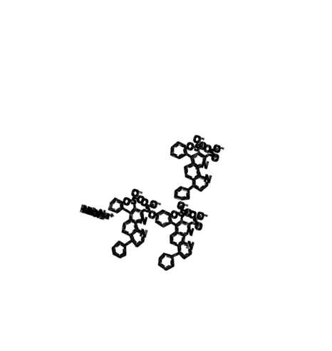 O=S(=O)([O-])c1nc2c(ccc3c(-c4ccccc4)ccnc32)c(-c2ccccc2)c1S(=O)(=O)[O-].O=S(=O)([O-])c1nc2c(ccc3c(-c4ccccc4)ccnc32)c(-c2ccccc2)c1S(=O)(=O)[O-].O=S(=O)([O-])c1nc2c(ccc3c(-c4ccccc4)ccnc32)c(-c2ccccc2)c1S(=O)(=O)[O-].[Na+].[Na+].[Na+].[Na+].[Ru+2]